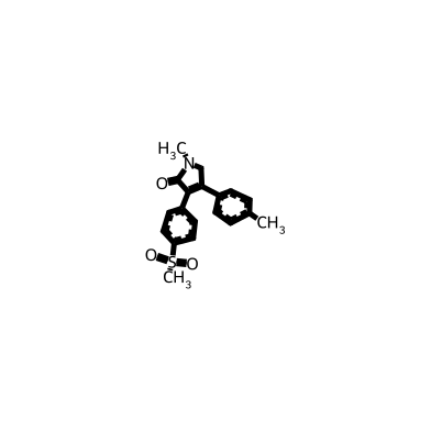 Cc1ccc(C2=C(c3ccc(S(C)(=O)=O)cc3)C(=O)N(C)C2)cc1